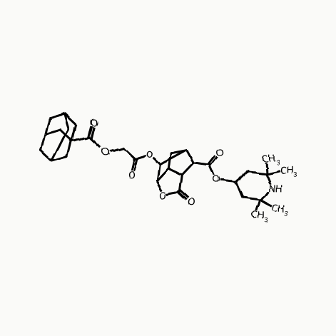 CC1(C)CC(OC(=O)C2C3CC4C(OC(=O)C42)C3OC(=O)COC(=O)C23CC4CC(CC(C4)C2)C3)CC(C)(C)N1